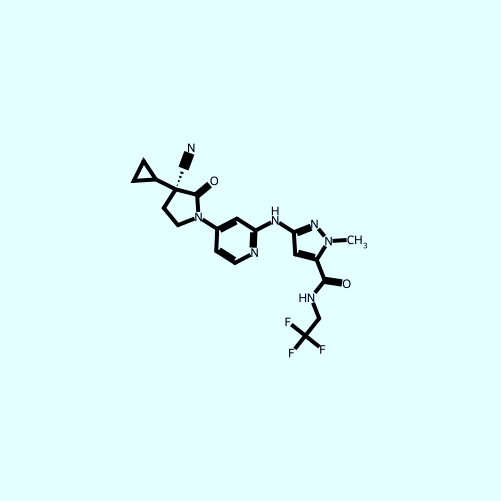 Cn1nc(Nc2cc(N3CC[C@@](C#N)(C4CC4)C3=O)ccn2)cc1C(=O)NCC(F)(F)F